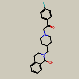 O=C(CN1CCC(CN2CCc3ccccc3C2O)CC1)c1ccc(F)cc1